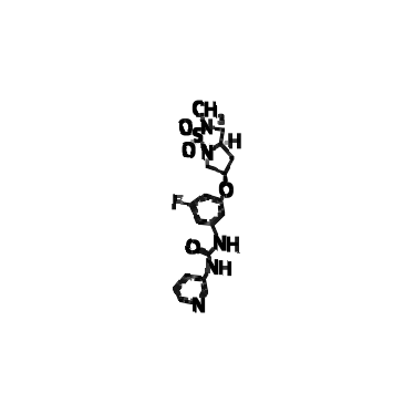 CN1C[C@H]2C[C@@H](Oc3cc(F)cc(NC(=O)Nc4cccnc4)c3)CN2S1(=O)=O